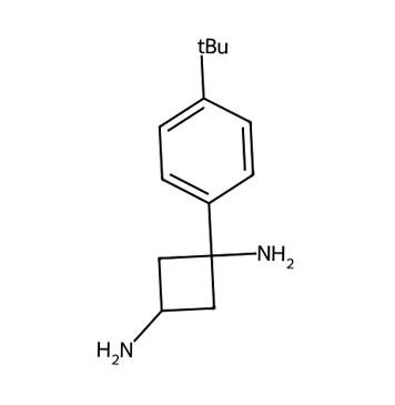 CC(C)(C)c1ccc(C2(N)CC(N)C2)cc1